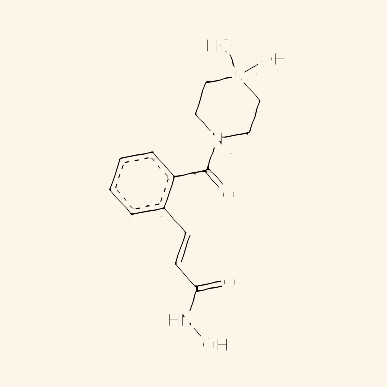 O=C(C=Cc1ccccc1C(=O)N1CCS(O)(O)CC1)NO